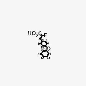 O=C(O)C(F)=Cc1ccc(Oc2ccccc2)cc1